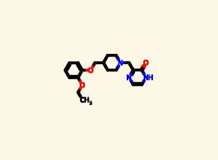 CCOc1ccccc1OCC1CCN(Cc2ncc[nH]c2=O)CC1